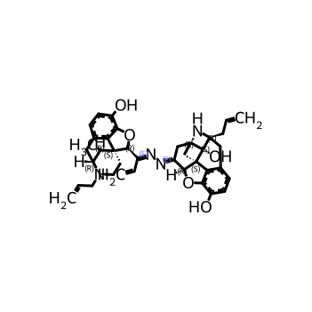 C=CCN1CC[C@]23c4c(ccc(O)c4O[C@H]2/C(C=C)=N/N=C2\C[C@@]45C[C@]67c8c(ccc(O)c8O[C@@H]26)C[C@@](CC=C)(N4)[C@]57O)C[C@@H]1[C@@H]3C